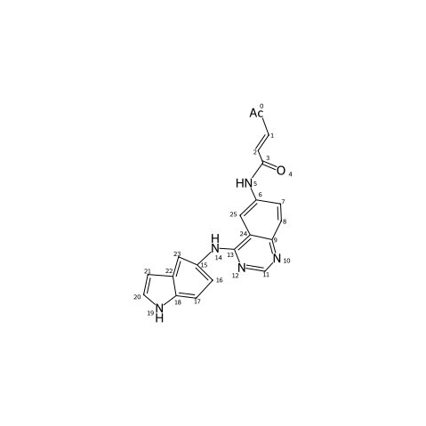 CC(=O)C=CC(=O)Nc1ccc2ncnc(Nc3ccc4[nH]ccc4c3)c2c1